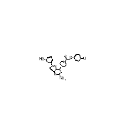 N#Cc1cccc(-c2ccc3nc(N)nc(N4CCN(C(=O)COc5ccc(Cl)cc5)CC4)c3n2)c1